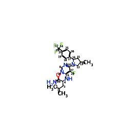 CC(C)CC(Nc1ncnc(N2CC(C)CC2c2ccc(C(F)(F)F)cc2)c1F)C(N)=O